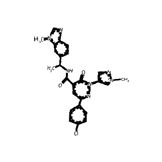 CC(NC(=O)c1cc(-c2ccc(Cl)cc2)nn(-c2cnn(C)c2)c1=O)c1ccc2ncn(C)c2c1